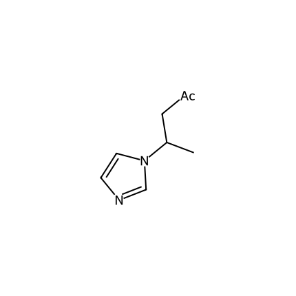 CC(=O)CC(C)n1ccnc1